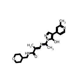 C/C(=C\N=C(/C)n1ncc(-c2ccnc(C)c2)c1O)C(=O)NCC1CCOCC1